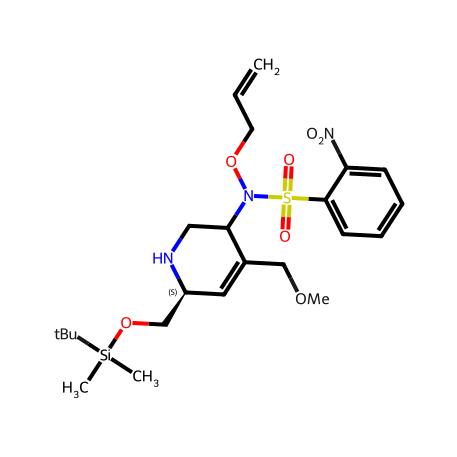 C=CCON(C1CN[C@H](CO[Si](C)(C)C(C)(C)C)C=C1COC)S(=O)(=O)c1ccccc1[N+](=O)[O-]